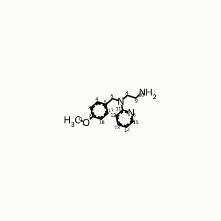 COc1ccc(CN(CCN)c2ccccn2)cc1